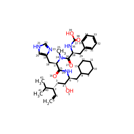 C=C[C@@H](C[C@@H](O)[C@H](CC1CCCCC1)NC(=O)[C@@H](Cc1c[nH]cn1)N(C)C(=O)[C@H](Cc1ccccc1)NC(=O)O)C(C)C